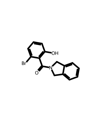 O=C(c1c(O)cccc1Br)N1Cc2ccccc2C1